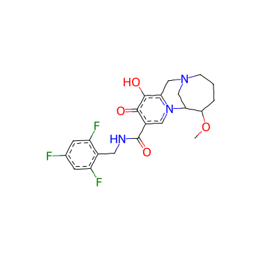 COC1CCCN2Cc3c(O)c(=O)c(C(=O)NCc4c(F)cc(F)cc4F)cn3C1C2